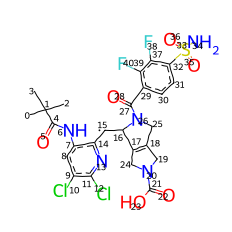 CC(C)(C)C(=O)Nc1cc(Cl)c(Cl)nc1[CH]C1C2=C(CN(C(=O)O)C2)CN1C(=O)c1ccc(S(N)(=O)=O)c(F)c1F